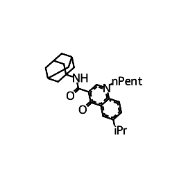 CCCCCn1cc(C(=O)NC23CC4CC(CC(C4)C2)C3)c(=O)c2cc(C(C)C)ccc21